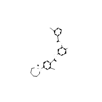 Cc1cc(N2CCCCCS2(=O)=O)ccc1C(=O)Nc1ccc(Cl)c(NC(=O)c2cccc(Cl)c2)c1